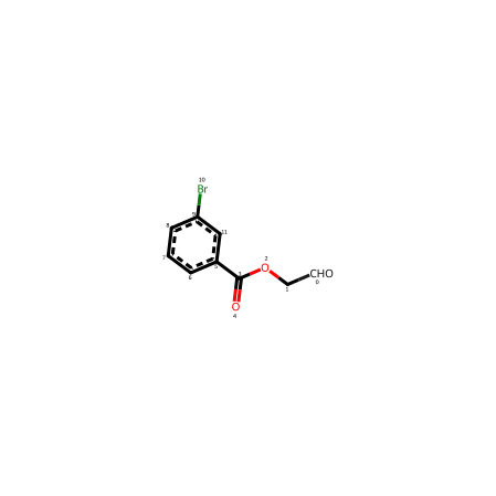 O=CCOC(=O)c1cccc(Br)c1